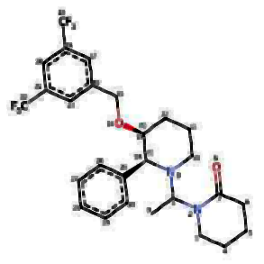 CC(N1CCCCC1=O)N1CCC[C@H](OCc2cc(C(F)(F)F)cc(C(F)(F)F)c2)[C@@H]1c1ccccc1